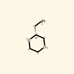 CC(C)C[C@@H]1COCCO1